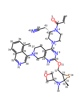 C=CC(=O)N1CCN(c2nc(OCC3S[C@]3(C)N(C)C3COC3)nc3c2CCN(c2cncc4cccc(C)c24)C3)C[C@@H]1CC#N